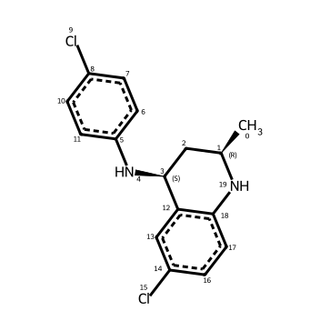 C[C@@H]1C[C@H](Nc2ccc(Cl)cc2)c2cc(Cl)ccc2N1